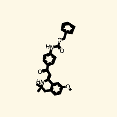 COc1ccc2c(c1)C(=CC(=O)c1ccc(NC(=O)OCc3ccccc3)cc1)NC(C)(C)C2